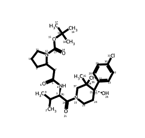 CC(C)[C@@H](NC(=O)CC1CCCN1C(=O)OC(C)(C)C)C(=O)N1CC[C@](O)(c2ccc(Cl)cc2)C(C)(C)C1